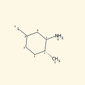 C[C@@H]1CCC(I)CC1N